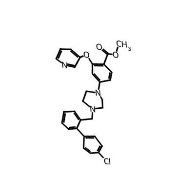 COC(=O)c1ccc(N2CCN(Cc3ccccc3-c3ccc(Cl)cc3)CC2)cc1Oc1cccnc1